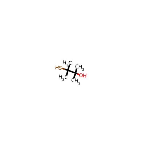 CC(C)(O)C(C)(C)S